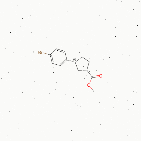 COC(=O)C1CC[C@@H](c2ccc(Br)cc2)C1